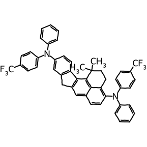 CC1(C)CCc2c(N(c3ccccc3)c3ccc(C(F)(F)F)cc3)ccc3cc4c(c1c23)-c1ccc(N(c2ccccc2)c2ccc(C(F)(F)F)cc2)cc1C4